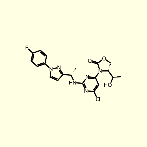 C[C@H](Nc1nc(Cl)cc(N2C(=O)OC[C@@H]2[C@@H](C)O)n1)c1ccn(-c2ccc(F)cc2)n1